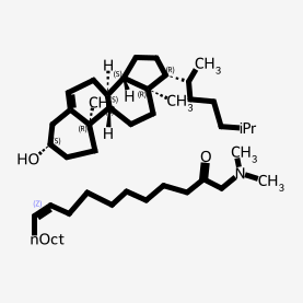 CC(C)CCCC(C)[C@H]1CC[C@H]2[C@@H]3CC=C4C[C@@H](O)CC[C@]4(C)[C@H]3CC[C@]12C.CCCCCCCC/C=C\CCCCCCCC(=O)CN(C)C